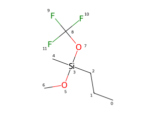 CCC[Si](C)(OC)OC(F)(F)F